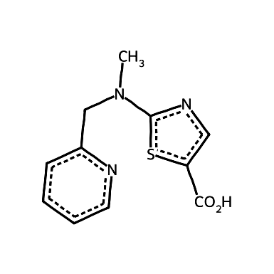 CN(Cc1ccccn1)c1ncc(C(=O)O)s1